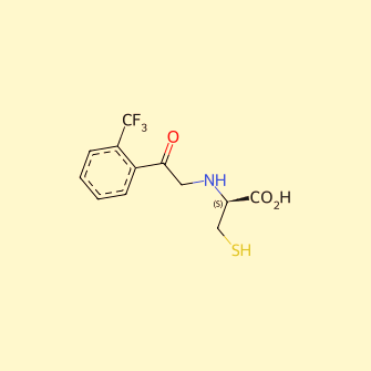 O=C(CN[C@H](CS)C(=O)O)c1ccccc1C(F)(F)F